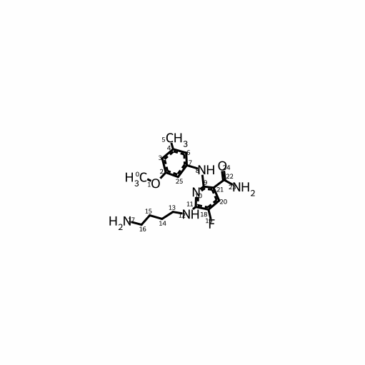 COc1cc(C)cc(Nc2nc(NCCCCN)c(F)cc2C(N)=O)c1